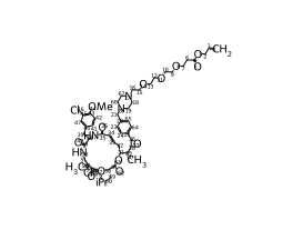 C=CCOC(=O)CCOCCOCCOCCN1CCN(Cc2ccc([C@H]3O[C@@H]3[C@@H](C)[C@@H]3C/C=C/C(=O)N[C@H](Cc4ccc(OC)c(Cl)c4)C(=O)NCC(C)(C)C(=O)O[C@@H](CC(C)C)C(=O)O3)cc2)CC1